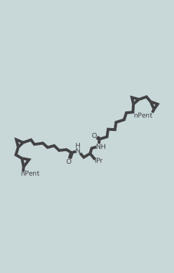 CCCCCC1CC1CC1CC1CCCCCCCC(=O)NCC(CNC(=O)CCCCCCCC1CC1CC1CC1CCCCC)C(C)C